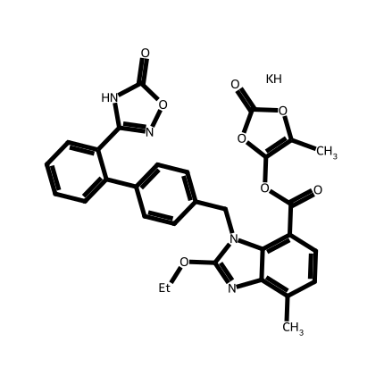 CCOc1nc2c(C)ccc(C(=O)Oc3oc(=O)oc3C)c2n1Cc1ccc(-c2ccccc2-c2noc(=O)[nH]2)cc1.[KH]